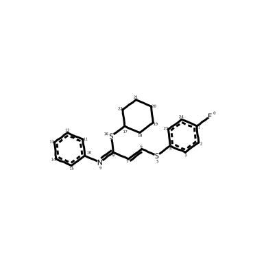 Fc1ccc(SC=CC(=Nc2ccccc2)SC2CCCCC2)cc1